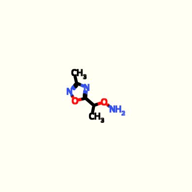 Cc1noc(C(C)ON)n1